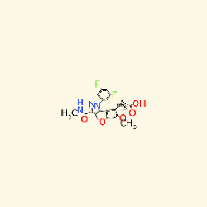 CNC(=O)c1nn(-c2cc(F)cc(F)c2)c2c1COc1cc(OC)c([C@H]3C[C@@H]3C(=O)O)cc1-2